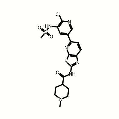 CN1CCC(C(=O)Nc2nc3ccc(-c4cnc(Cl)c(NS(C)(=O)=O)c4)nc3s2)CC1